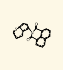 O=C1c2cccc3cccc(c23)C(=O)N1c1ccc2scccc1-2